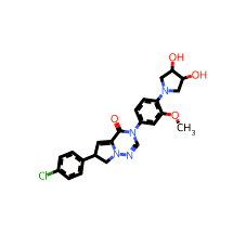 COc1cc(N2C=NN3CC(c4ccc(Cl)cc4)C=C3C2=O)ccc1N1CC(O)C(O)C1